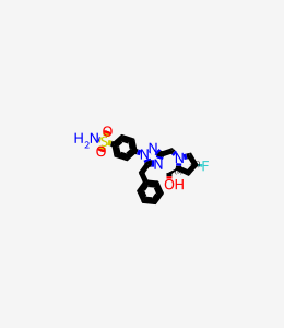 NS(=O)(=O)c1ccc(-n2nc(CN3C[C@@H](F)C[C@H]3CO)nc2Cc2ccccc2)cc1